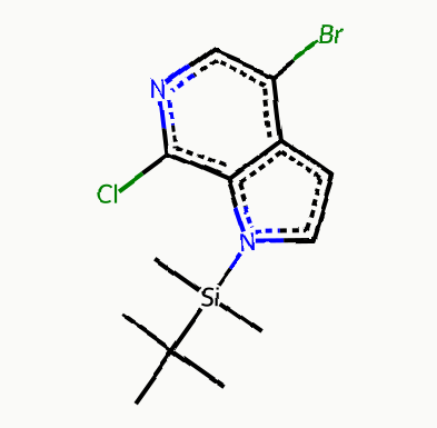 CC(C)(C)[Si](C)(C)n1ccc2c(Br)cnc(Cl)c21